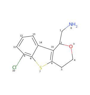 NCC1OCCc2sc3c(Cl)cccc3c21